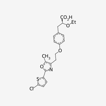 CCO[C@@H](Cc1ccc(OCCc2nc(-c3ccc(Cl)s3)oc2C)cc1)C(=O)O